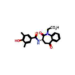 Cc1cc(C(=O)N[C@H]2CC(=O)c3ccccc3N(CC(=O)O)C2=O)cc(C)c1O